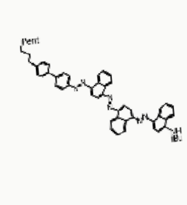 CCCC(C)CCCc1ccc(-c2ccc(N=Nc3ccc(N=Nc4ccc(N=Nc5ccc(NC(C)CC)c6ccccc56)c5ccccc45)c4ccccc34)cc2)cc1